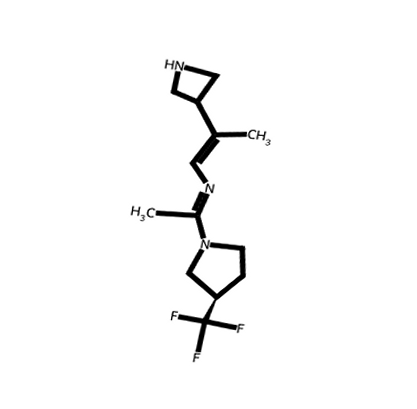 C/C(=C\N=C(/C)N1CC[C@@H](C(F)(F)F)C1)C1CNC1